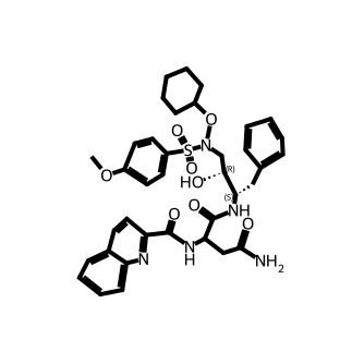 COc1ccc(S(=O)(=O)N(C[C@@H](O)[C@H](Cc2ccccc2)NC(=O)C(CC(N)=O)NC(=O)c2ccc3ccccc3n2)OC2CCCCC2)cc1